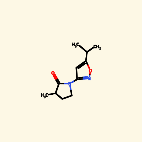 CC1CCN(c2cc(C(C)C)on2)C1=O